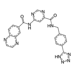 O=C(Nc1cc(C(=O)NCc2ccc(-c3nnn[nH]3)cc2)ncn1)c1ccc2nccnc2c1